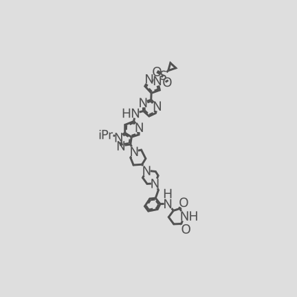 CC(C)n1nc(N2CCC(N3CCN(Cc4ccccc4NC4CCC(=O)NC4=O)CC3)CC2)c2cnc(Nc3ccnc(-c4cnn(S(=O)(=O)C5CC5)c4)n3)cc21